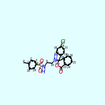 Cc1ccc(S(=O)(=O)NCCNC2(c3ccc(Cl)cc3)OC(=O)c3ccccc32)cc1